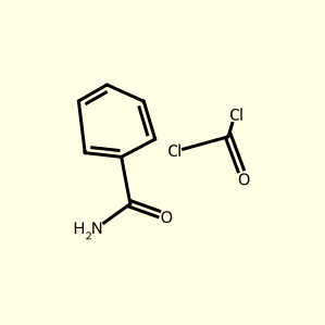 NC(=O)c1ccccc1.O=C(Cl)Cl